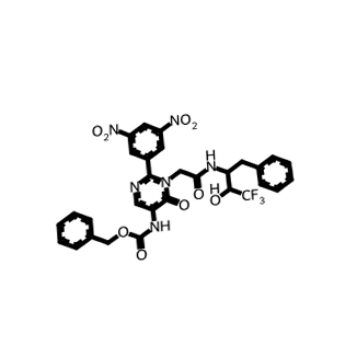 O=C(Cn1c(-c2cc([N+](=O)[O-])cc([N+](=O)[O-])c2)ncc(NC(=O)OCc2ccccc2)c1=O)NC(Cc1ccccc1)C(O)C(F)(F)F